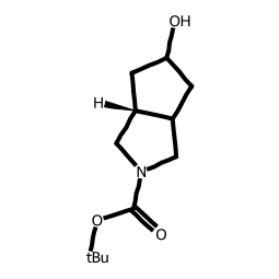 CC(C)(C)OC(=O)N1CC2CC(O)C[C@H]2C1